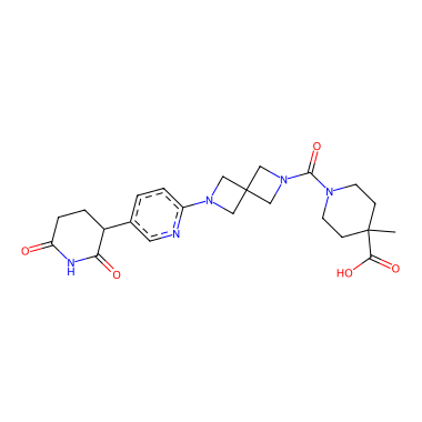 CC1(C(=O)O)CCN(C(=O)N2CC3(C2)CN(c2ccc(C4CCC(=O)NC4=O)cn2)C3)CC1